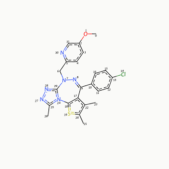 COc1ccc(CN2N=C(c3ccc(Cl)cc3)c3c(sc(C)c3C)-n3c(C)nnc32)nc1